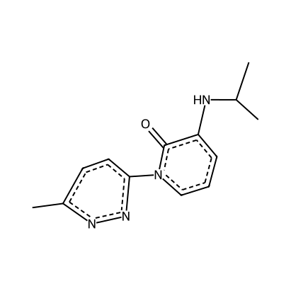 Cc1ccc(-n2cccc(NC(C)C)c2=O)nn1